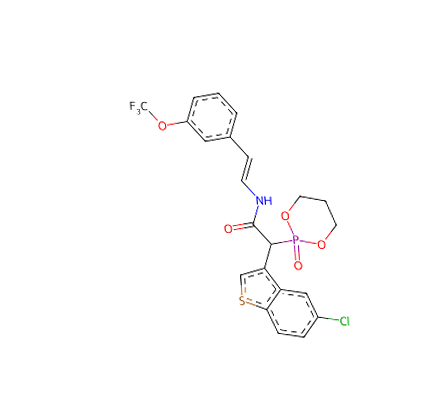 O=C(NC=Cc1cccc(OC(F)(F)F)c1)C(c1csc2ccc(Cl)cc12)P1(=O)OCCCO1